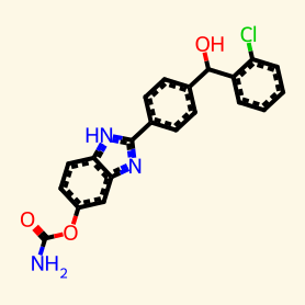 NC(=O)Oc1ccc2[nH]c(-c3ccc(C(O)c4ccccc4Cl)cc3)nc2c1